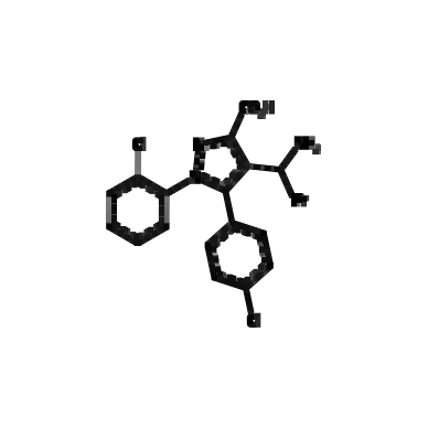 CC(C)C(N)c1c(C(=O)O)nn(-c2ccccc2Cl)c1-c1ccc(Cl)cc1